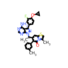 Cc1cccc(-c2c([C@H](C)n3nc(-c4ccc(OC5CC5)c(F)c4)c4c(N)ncnc43)cc3scc(C)n3c2=O)c1